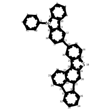 c1ccc(-n2c3ccccc3c3cc(-c4ccc5sc6cc7c8c(cccc8c6c5c4)-c4ccccc4-7)ccc32)cc1